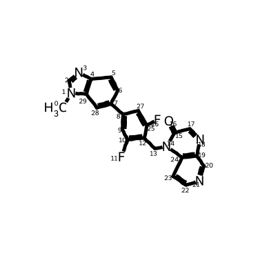 Cn1cnc2ccc(-c3cc(F)c(Cn4c(=O)cnc5cnccc54)c(F)c3)cc21